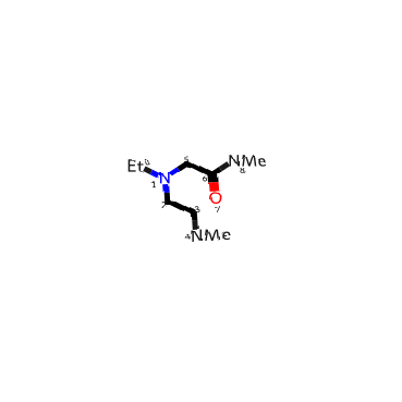 CCN(CCNC)CC(=O)NC